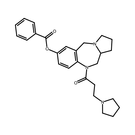 O=C(Oc1ccc2c(c1)CN1CCCC1CN2C(=O)CCN1CCCC1)c1ccccc1